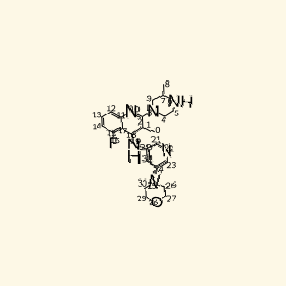 Cc1c(N2CCNC(C)C2)nc2cccc(F)c2c1Nc1cncc(N2CCOCC2)c1